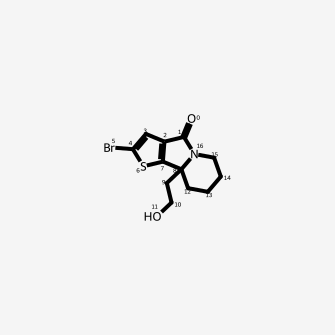 O=C1c2cc(Br)sc2C2(CCO)CCCCN12